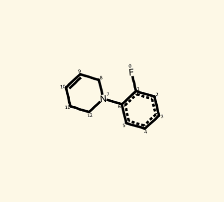 Fc1ccccc1N1CC=CCC1